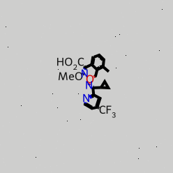 CON=C(C(=O)O)c1cccc(C)c1CON=C(c1cc(C(F)(F)F)ccn1)C1CC1